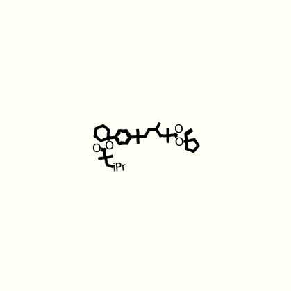 C=CC1(OC(=O)C(C)(C)CC(C)CCC(C)(C)c2ccc(C3(OC(=O)C(C)(C)CC(C)C)CCCCC3)cc2)CCCC1